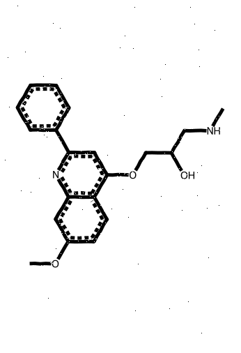 CNCC(O)COc1cc(-c2ccccc2)nc2cc(OC)ccc12